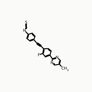 Cc1cnc(-c2ccc(C#Cc3ccc(N=C=S)cc3)c(F)c2)nc1